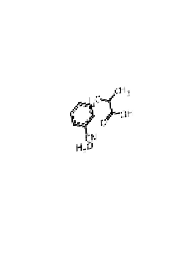 CC(C)C(=O)O.N#Cc1ccccc1.O